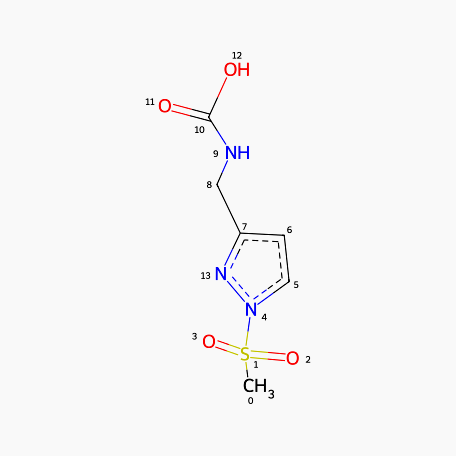 CS(=O)(=O)n1ccc(CNC(=O)O)n1